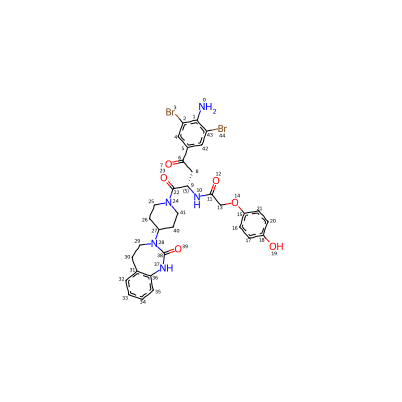 Nc1c(Br)cc(C(=O)C[C@H](NC(=O)COc2ccc(O)cc2)C(=O)N2CCC(N3CCc4ccccc4NC3=O)CC2)cc1Br